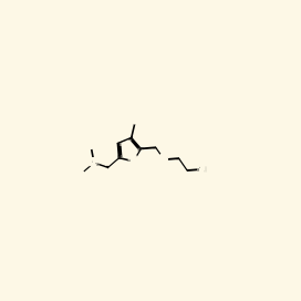 Cc1cc(CN(C)C)oc1CSCCN